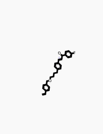 C=Cc1ccc(COCCCCc2ccc(/C=C/C(=O)c3ccc(F)cc3)cc2)cc1